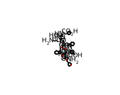 C[C@@H](O)[C@H](NC(=O)[C@H](CCCCN)NC(=O)[C@@H](Cc1c[nH]c2ccccc12)NC(=O)[C@H](Cc1c[nH]c2ccccc12)NC(=O)[C@H](Cc1ccc(O)cc1)NC(=O)[C@H](CS)NC(=O)[C@H](N)Cc1ccccc1)C(=O)N[C@@H](Cc1ccccc1)C(=O)O